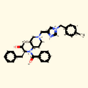 COC(=O)[C@H](Cc1ccccc1)N(C(=O)c1ccccc1)C1CCN(Cc2cn(Cc3ccc(C#N)cc3)cn2)CC1